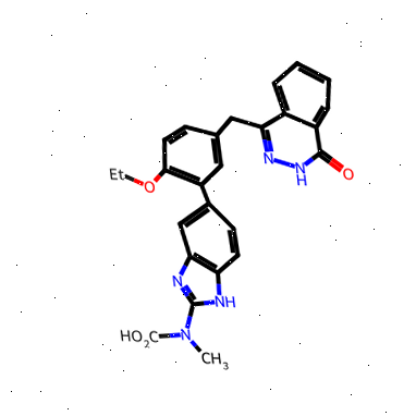 CCOc1ccc(Cc2n[nH]c(=O)c3ccccc23)cc1-c1ccc2[nH]c(N(C)C(=O)O)nc2c1